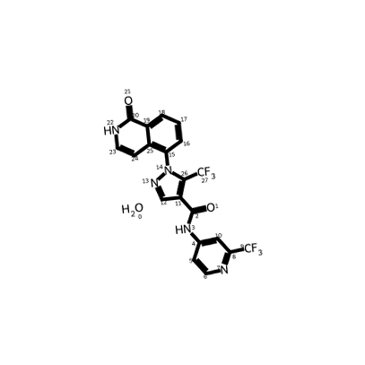 O.O=C(Nc1ccnc(C(F)(F)F)c1)c1cnn(-c2cccc3c(=O)[nH]ccc23)c1C(F)(F)F